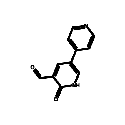 O=Cc1cc(-c2ccncc2)c[nH]c1=O